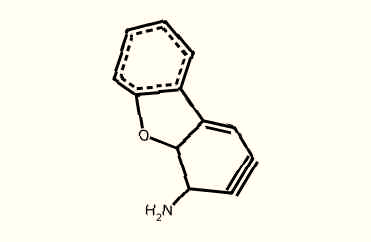 NC1C#CC=C2c3ccccc3OC21